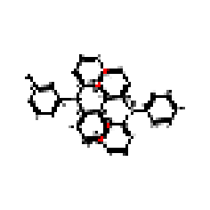 Cc1cccc(N(c2ccccc2)c2ccccc2-c2ccccc2N(c2ccccc2)c2cccc(C)c2)c1